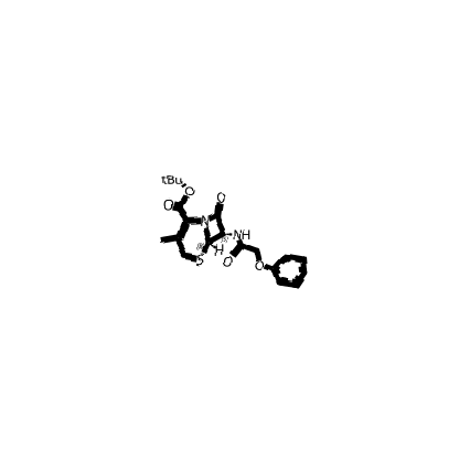 CC1=C(C(=O)OC(C)(C)C)N2C(=O)[C@H](NC(=O)COc3ccccc3)[C@H]2SC1